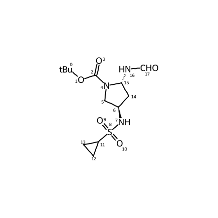 CC(C)(C)OC(=O)N1C[C@H](NS(=O)(=O)C2CC2)C[C@H]1NC=O